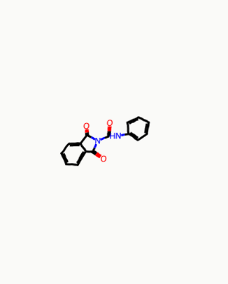 O=C(Nc1ccccc1)N1C(=O)c2ccccc2C1=O